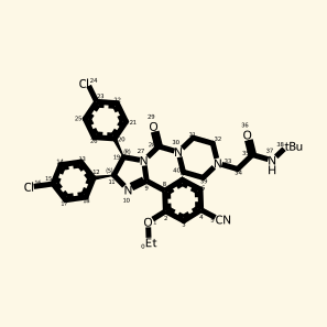 CCOc1cc(C#N)ccc1C1=N[C@@H](c2ccc(Cl)cc2)[C@@H](c2ccc(Cl)cc2)N1C(=O)N1CCN(CC(=O)NC(C)(C)C)CC1